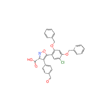 O=Cc1ccc(-c2c(C(=O)O)noc2-c2cc(Cl)c(OCc3ccccc3)cc2OCc2ccccc2)cc1